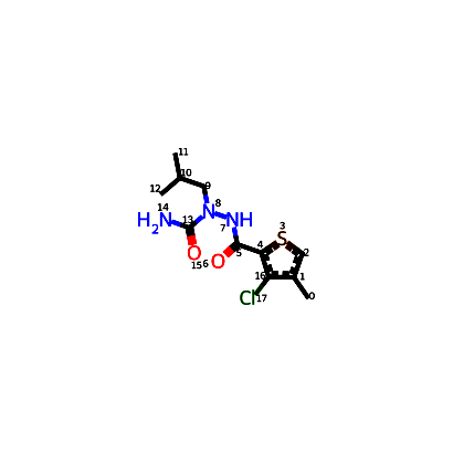 Cc1csc(C(=O)NN(CC(C)C)C(N)=O)c1Cl